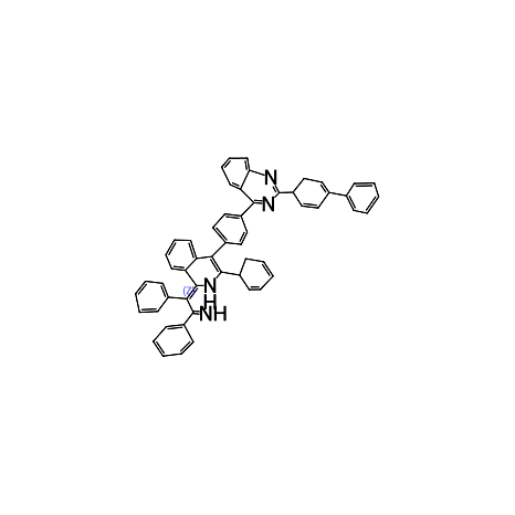 N=C(/C(=C1\NC(C2C=CC=CC2)=C(c2ccc(-c3nc(C4C=CC(c5ccccc5)=CC4)nc4ccccc34)cc2)c2ccccc21)c1ccccc1)c1ccccc1